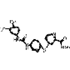 CNC(=O)c1cc(Oc2ccc(NC(=O)Nc3ccc(O)c(C(F)(F)F)c3)cc2)ccn1